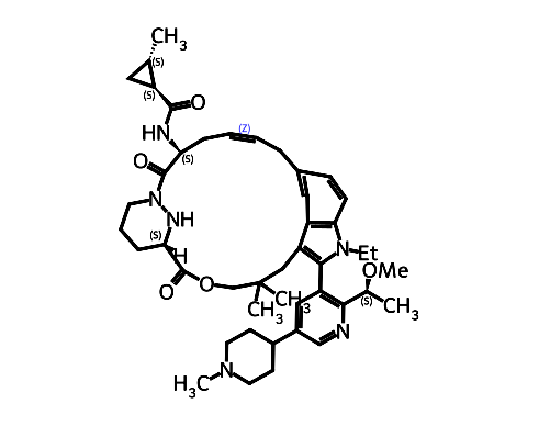 CCn1c(-c2cc(C3CCN(C)CC3)cnc2[C@H](C)OC)c2c3cc(ccc31)C/C=C\C[C@H](NC(=O)[C@H]1C[C@@H]1C)C(=O)N1CCC[C@H](N1)C(=O)OCC(C)(C)C2